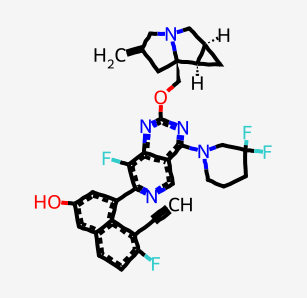 C#Cc1c(F)ccc2cc(O)cc(-c3ncc4c(N5CCCC(F)(F)C5)nc(OC[C@@]56CC(=C)CN5C[C@H]5C[C@H]56)nc4c3F)c12